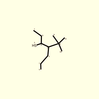 CCCC(C(S)CC)C(C)(C)C